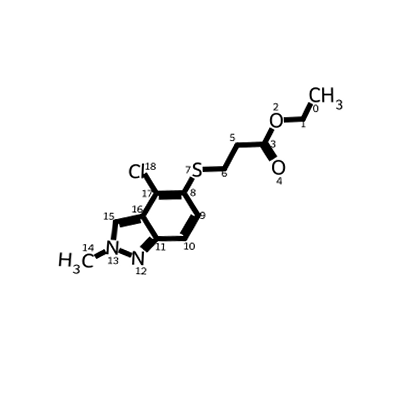 CCOC(=O)CCSc1ccc2nn(C)cc2c1Cl